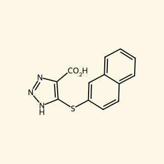 O=C(O)c1nn[nH]c1Sc1ccc2ccccc2c1